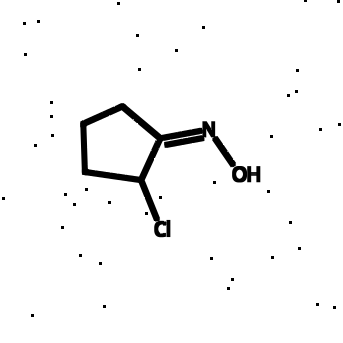 ON=C1CCCC1Cl